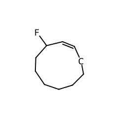 FC1/C=C\CCCCCCC1